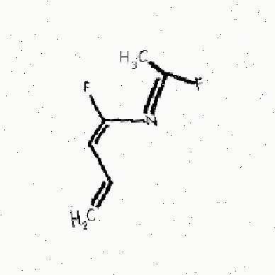 C=C/C=C(F)\N=C(/C)F